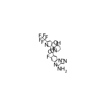 Nc1nc2cc(F)c(C(=O)N3CCC[C@@H]4Oc5cc(C(F)(F)C(F)(F)F)ncc5[C@@H]43)cc2n2cncc12